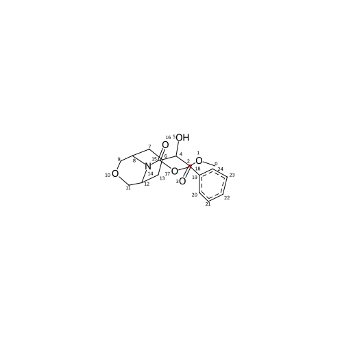 COC(=O)C(O)C1CC2COCC(C1)N2C(=O)OCc1ccccc1